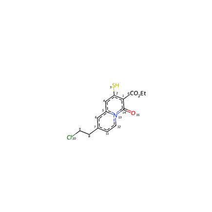 CCOC(=O)c1c(S)cc2cc(CCCl)ccn2c1=O